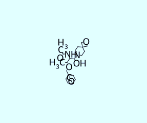 CC(=O)NC(C(C)OCC12CCC(CC1)OC2)C(O)N1CCC2(CC1)COC2